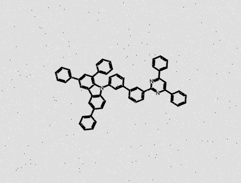 c1ccc(-c2ccc3c(c2)c2cc(-c4ccccc4)cc(-c4ccccc4)c2n3-c2cccc(-c3cccc(-c4nc(-c5ccccc5)cc(-c5ccccc5)n4)c3)c2)cc1